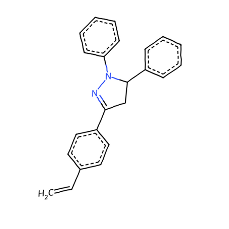 C=Cc1ccc(C2=NN(c3ccccc3)C(c3ccccc3)C2)cc1